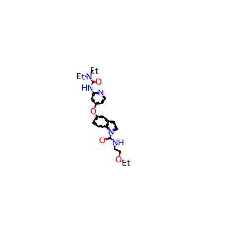 CCOCCNC(=O)n1ccc2cc(Oc3ccnc(NC(=O)N(CC)CC)c3)ccc21